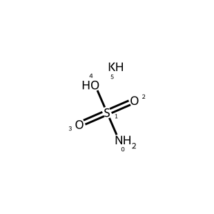 NS(=O)(=O)O.[KH]